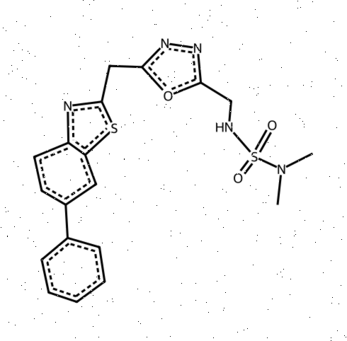 CN(C)S(=O)(=O)NCc1nnc(Cc2nc3ccc(-c4ccccc4)cc3s2)o1